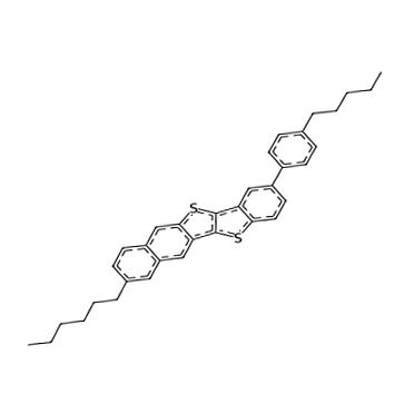 CCCCCCc1ccc2cc3sc4c5cc(-c6ccc(CCCCC)cc6)ccc5sc4c3cc2c1